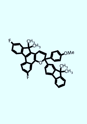 COc1ccc(C2(c3ccc4c(c3)C(C)(C)c3ccccc3-4)C=Cc3c4c(c5ccc(F)cc5c3O2)-c2ccc(F)cc2C4(C)C)cc1